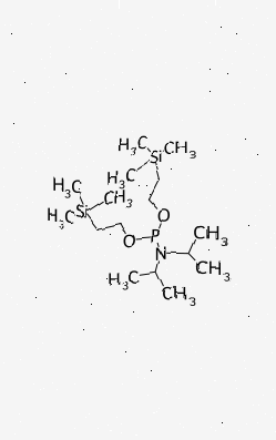 CC(C)N(C(C)C)P(OCC[Si](C)(C)C)OCC[Si](C)(C)C